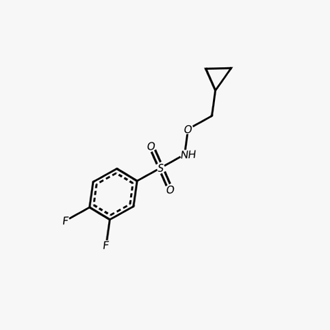 O=S(=O)(NOCC1CC1)c1ccc(F)c(F)c1